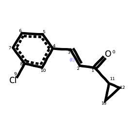 O=C(/C=C/c1cccc(Cl)c1)C1CC1